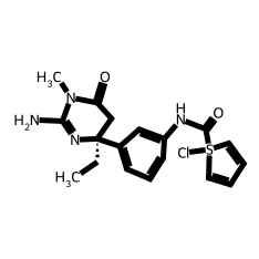 CC[C@@]1(c2cccc(NC(=O)S3(Cl)C=CC=C3)c2)CC(=O)N(C)C(N)=N1